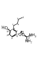 C=O.CCCCc1ccccc1O.NC(N)=O